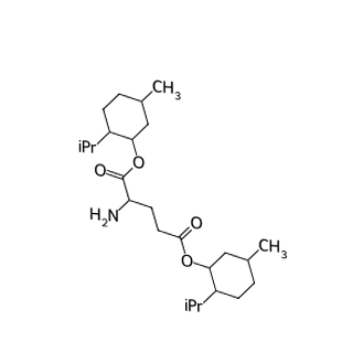 CC1CCC(C(C)C)C(OC(=O)CCC(N)C(=O)OC2CC(C)CCC2C(C)C)C1